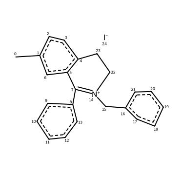 Cc1ccc2c(c1)C(c1ccccc1)=[N+](Cc1ccccc1)CC2.[I-]